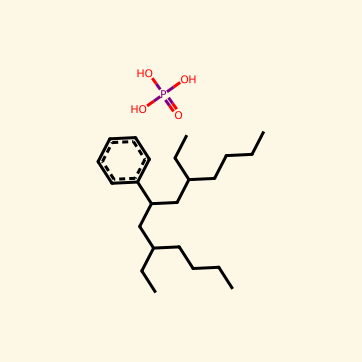 CCCCC(CC)CC(CC(CC)CCCC)c1ccccc1.O=P(O)(O)O